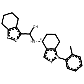 Cc1ccccc1-n1ncc2c1CCC[C@H]2NC(O)c1onc2c1CCCC2